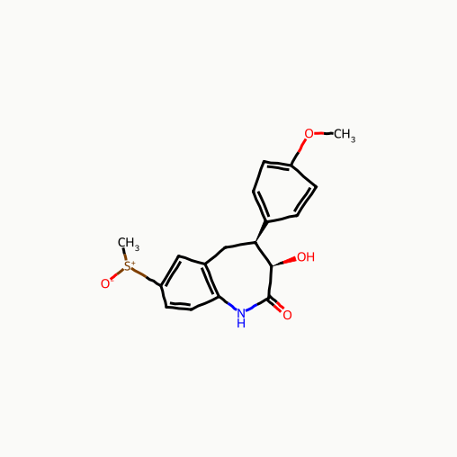 COc1ccc([C@@H]2Cc3cc([S+](C)[O-])ccc3NC(=O)[C@@H]2O)cc1